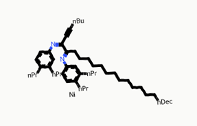 CCCCC#CC(=Nc1ccc(CCC)c(CCC)c1)C(CCCCCCCCCCCCCCCCCCCCCCC)=Nc1ccc(CCC)c(CCC)c1.[Ni]